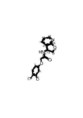 O=C(COc1ccc(Cl)c(Cl)c1)NC1COc2ncccc21